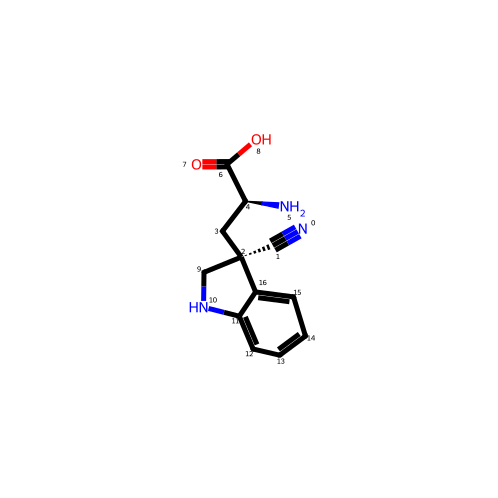 N#C[C@@]1(C[C@H](N)C(=O)O)CNc2ccccc21